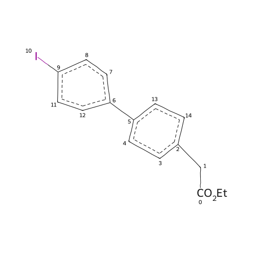 CCOC(=O)Cc1ccc(-c2ccc(I)cc2)cc1